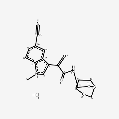 Cl.Cn1cc(C(=O)C(=O)NC2CN3CCC2CC3)c2cc(C#N)ccc21